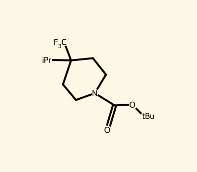 CC(C)C1(C(F)(F)F)CCN(C(=O)OC(C)(C)C)CC1